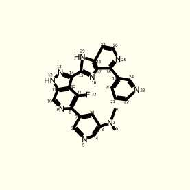 CN(C)c1cncc(-c2ncc3[nH]nc(-c4nc5c(-c6cccnc6)nccc5[nH]4)c3c2F)c1